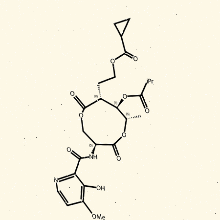 COc1ccnc(C(=O)N[C@H]2COC(=O)[C@H](CCOC(=O)C3CC3)[C@@H](OC(=O)C(C)C)[C@H](C)OC2=O)c1O